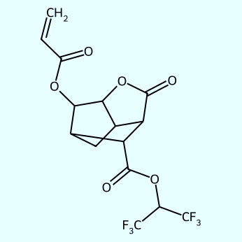 C=CC(=O)OC1C2CC3C1OC(=O)C3C2C(=O)OC(C(F)(F)F)C(F)(F)F